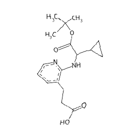 CC(C)(C)OC(=O)C(Nc1ncccc1CCC(=O)O)C1CC1